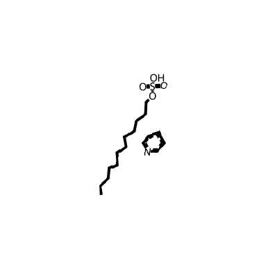 CCCCCCCCCCCCOS(=O)(=O)O.c1ccncc1